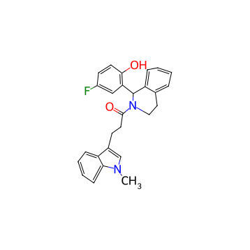 Cn1cc(CCC(=O)N2CCc3ccccc3C2c2cc(F)ccc2O)c2ccccc21